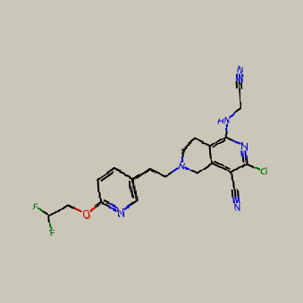 N#CCNc1nc(Cl)c(C#N)c2c1CCN(CCc1ccc(OCC(F)F)nc1)C2